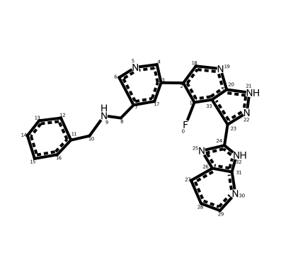 Fc1c(-c2cncc(CNCc3ccccc3)c2)cnc2[nH]nc(-c3nc4cccnc4[nH]3)c12